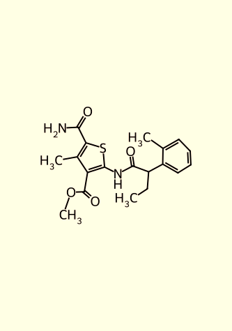 CCC(C(=O)Nc1sc(C(N)=O)c(C)c1C(=O)OC)c1ccccc1C